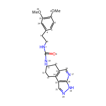 COc1ccc(CCNC(=O)NC2CCc3c(cnc4[nH]ncc34)C2)cc1OC